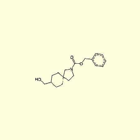 O=C(OCc1ccccc1)N1CCC2(CCC(CO)CC2)C1